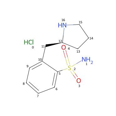 Cl.NS(=O)(=O)c1ccccc1C[C@@H]1CCCN1